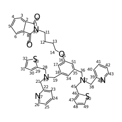 O=C1c2ccccc2C(=O)N1CCCCOc1cc(CN(Cc2ccccn2)Cc2cccs2)cc(CN(Cc2ccccn2)Cc2cccs2)c1